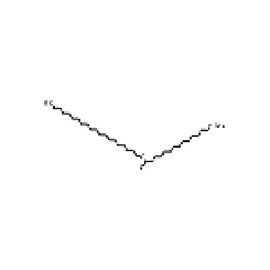 CCCCCCC=CCCCCCCCCCCCC(=O)OCCCCCCCCCCCCCCCCCCCC(C)C